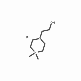 C[N+]1(C)CCN(CCO)CC1.[Br-]